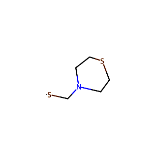 [S]CN1CCSCC1